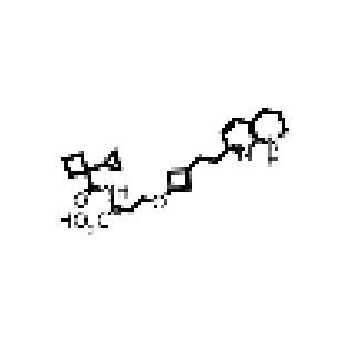 O=C(O)[C@H](CCOC1CC(CCc2ccc3c(n2)NCCC3)C1)NC(=O)C1(C2CC2)CCC1